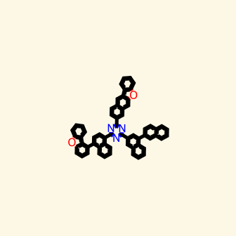 c1ccc2cc(-c3cc(-c4nc(-c5ccc6cc7c(cc6c5)oc5ccccc57)nc(-c5ccc(-c6cccc7oc8ccccc8c67)c6ccccc56)n4)cc4ccccc34)ccc2c1